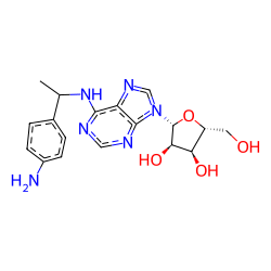 CC(Nc1ncnc2c1ncn2[C@@H]1O[C@H](CO)[C@@H](O)[C@H]1O)c1ccc(N)cc1